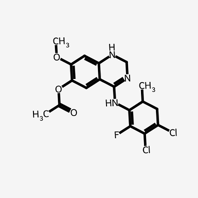 COc1cc2c(cc1OC(C)=O)C(NC1=C(F)C(Cl)=C(Cl)CC1C)=NCN2